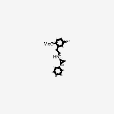 COc1ccc(F)cc1CCN[C@@H]1C[C@H]1c1ccccc1